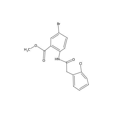 COC(=O)c1cc(Br)ccc1NC(=O)Cc1ccccc1Cl